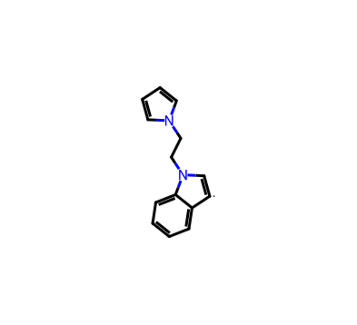 [c]1cn(CCn2cccc2)c2ccccc12